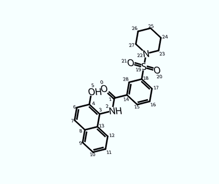 O=C(Nc1c(O)ccc2ccccc12)c1cccc(S(=O)(=O)N2CCCCC2)c1